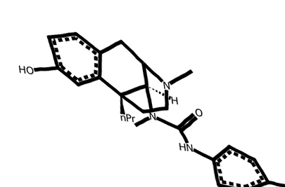 CCC[C@@]12CCN(C)C(Cc3ccc(O)cc31)[C@H]2N(C)C(=O)Nc1ccc(C#N)cc1